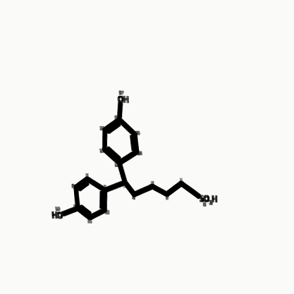 O=S(=O)(O)CCCCC(c1ccc(O)cc1)c1ccc(O)cc1